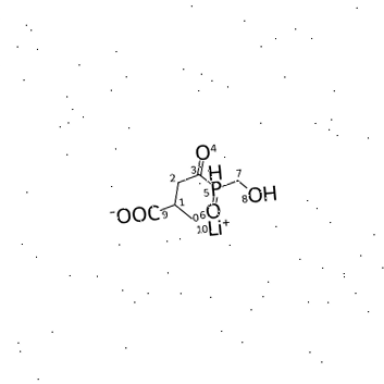 CC(CC(=O)[PH](=O)CO)C(=O)[O-].[Li+]